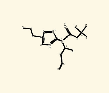 CCCc1cnc(N(C(=O)CC(C)(C)C)C(C)CCC)nc1